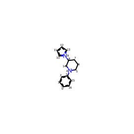 [c]1ccc(N2CCCC(n3cccc3)C2)cc1